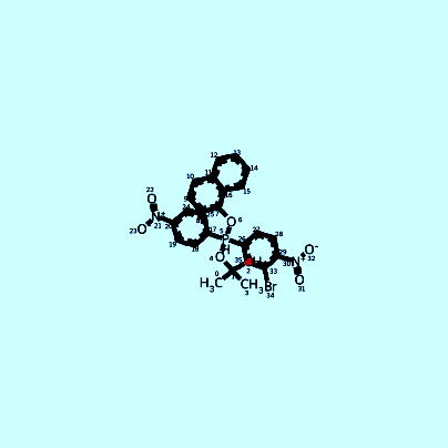 CC(C)(C)O[PH](Oc1cccc2ccccc12)(c1ccc([N+](=O)[O-])cc1)c1ccc([N+](=O)[O-])c(Br)c1